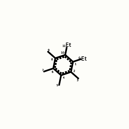 CCc1c(C)c(C)c(C)c(C)c1CC